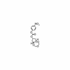 O=C(Oc1ccc([N+](=O)[O-])cc1)OC1C[C@@H]2OCOCO[C@@H]2C1